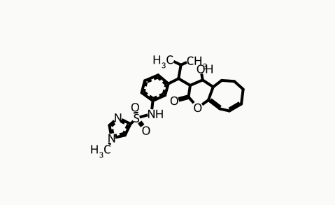 CC(C)C(c1cccc(NS(=O)(=O)c2cn(C)cn2)c1)C1C(=O)OC2=CC=CCCCC2C1O